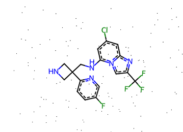 Fc1ccc(C2(CNc3cc(Cl)cc4nc(C(F)(F)F)cn34)CNC2)nc1